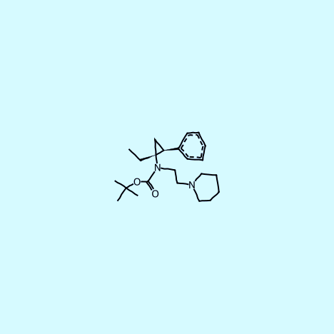 CC[C@@]1(N(CCN2CCCCC2)C(=O)OC(C)(C)C)C[C@H]1c1ccccc1